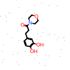 O=C(CCc1ccc(O)c(O)c1)N1CCOCC1